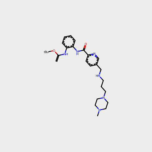 C=C(Nc1ccccc1NC(=O)c1ccc(CNCCCN2CCN(C)CC2)cn1)OC(C)(C)C